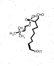 CCCCCCCC/C=C\CCCCCC(CC=O)P(=O)(O)OCC[N+](C)(C)C